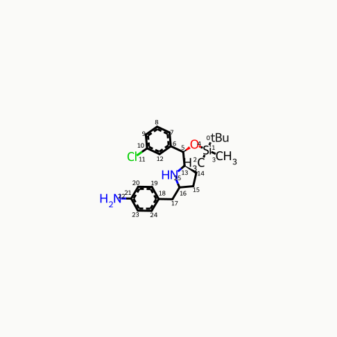 CC(C)(C)[Si](C)(C)O[C@H](c1cccc(Cl)c1)[C@H]1CCC(Cc2ccc(N)cc2)N1